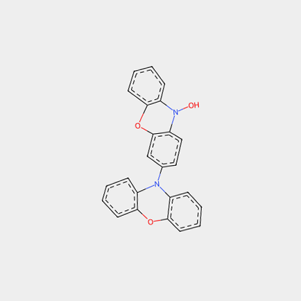 ON1c2ccccc2Oc2cc(N3c4ccccc4Oc4ccccc43)ccc21